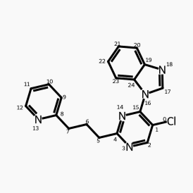 Clc1cnc(CCCc2ccccn2)nc1-n1cnc2ccccc21